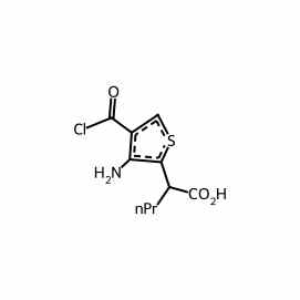 CCCC(C(=O)O)c1scc(C(=O)Cl)c1N